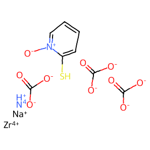 O=C([O-])[O-].O=C([O-])[O-].O=C([O-])[O-].[NH4+].[Na+].[O-][n+]1ccccc1S.[Zr+4]